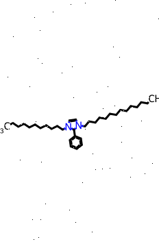 CCCCCCCCCCCCCCN1C=CN(CCCCCCCCCCC)C1c1ccccc1